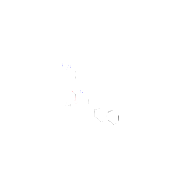 CC(C)(C)OC(=O)N(CCCN)CCc1ccc2ccccc2c1